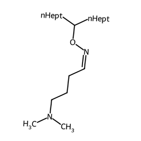 CCCCCCCC(CCCCCCC)O/N=C\CCCN(C)C